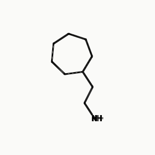 [NH]CCC1CCCCCC1